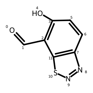 O=Cc1c(O)ccc2nnsc12